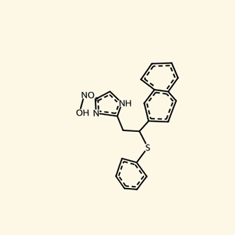 O=[N+]([O-])O.c1ccc(SC(Cc2ncc[nH]2)c2ccc3ccccc3c2)cc1